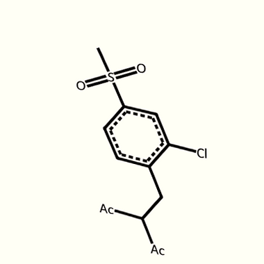 CC(=O)C(Cc1ccc(S(C)(=O)=O)cc1Cl)C(C)=O